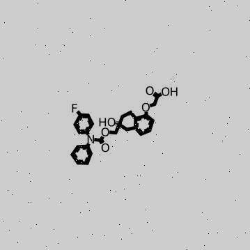 O=C(O)COc1cccc2c1CC[C@](O)(COC(=O)N(c1ccccc1)c1ccc(F)cc1)C2